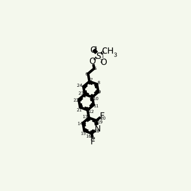 CS(=O)(=O)OCCc1ccc2cc(-c3ccc(F)nc3F)ccc2c1